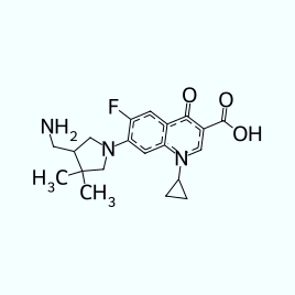 CC1(C)CN(c2cc3c(cc2F)c(=O)c(C(=O)O)cn3C2CC2)CC1CN